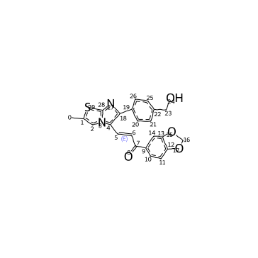 Cc1cn2c(/C=C/C(=O)c3ccc4c(c3)OCO4)c(-c3ccc(CO)cc3)nc2s1